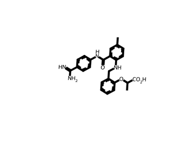 Cc1ccc(NCc2ccccc2OC(C)C(=O)O)c(C(=O)Nc2ccc(C(=N)N)cc2)c1